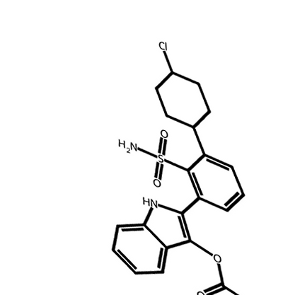 CCC(=O)Oc1c(-c2cccc(C3CCC(Cl)CC3)c2S(N)(=O)=O)[nH]c2ccccc12